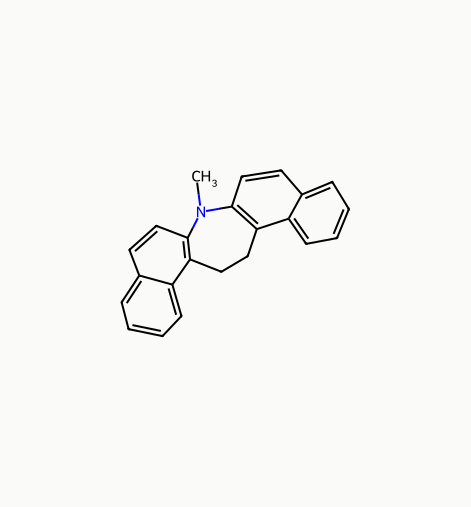 CN1c2ccc3ccccc3c2CCc2c1ccc1ccccc21